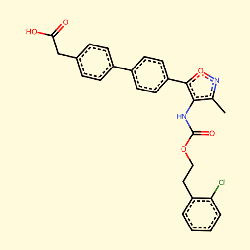 Cc1noc(-c2ccc(-c3ccc(CC(=O)O)cc3)cc2)c1NC(=O)OCCc1ccccc1Cl